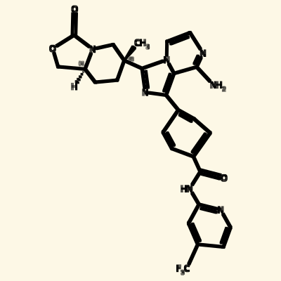 C[C@@]1(c2nc(-c3ccc(C(=O)Nc4cc(C(F)(F)F)ccn4)cc3)c3c(N)nccn23)CC[C@H]2COC(=O)N2C1